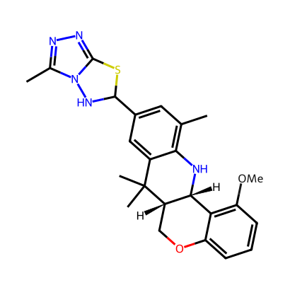 COc1cccc2c1[C@H]1Nc3c(C)cc(C4Nn5c(C)nnc5S4)cc3C(C)(C)[C@H]1CO2